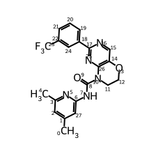 Cc1cc(C)nc(NC(=O)N2CCOc3cnc(-c4cccc(C(F)(F)F)c4)nc32)c1